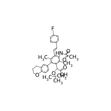 Cc1c(/C=C/c2ccc(F)cc2)c(NS(C)(=O)=O)c(C)c(C(OC(C)(C)C)C(=O)O)c1-c1ccc2c(c1)CCCO2